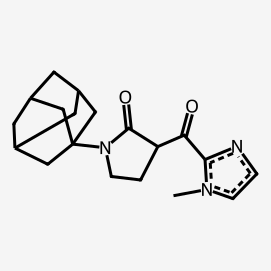 Cn1ccnc1C(=O)C1CCN(C23CC4CC(CC(C4)C2)C3)C1=O